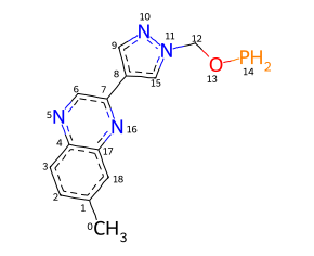 Cc1ccc2ncc(-c3cnn(COP)c3)nc2c1